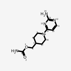 NC(=O)OCC1CCN(c2ccnc(N)n2)CC1